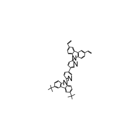 C=Cc1ccc2c(c1)c1cc(C=C)ccc1n2-c1ccc(-c2ccc(-n3c4ccc(C(C)(C)C)cc4c4cc(C(C)(C)C)ccc43)nc2)cn1